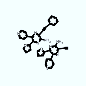 C#Cc1nc(-c2ccncc2)c(-c2ccco2)nc1N.Nc1nc(-c2ccco2)c(-c2ccncc2)nc1C#Cc1ccccc1